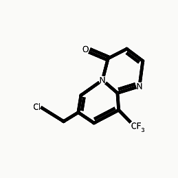 O=c1ccnc2c(C(F)(F)F)cc(CCl)cn12